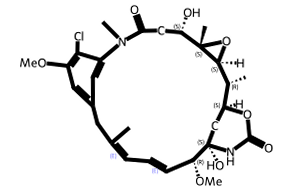 COc1cc2cc(c1Cl)N(C)C(=O)C[C@H](O)[C@]1(C)O[C@H]1[C@H](C)[C@@H]1C[C@@](O)(NC(=O)O1)[C@H](OC)/C=C/C=C(\C)C2